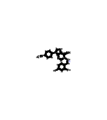 [C-]#[N+]c1ccc(-n2cnc3c(=N)n(/N=C\c4ccc(F)cc4F)cnc32)cc1